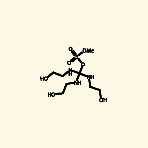 COS(=O)(=O)OC(NCCO)(NCCO)NCCO